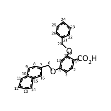 O=C(O)c1ccc(OCc2ccc3ccccc3c2)cc1OCc1ccccc1